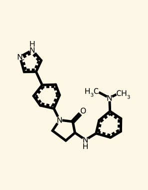 CN(C)c1cccc(NC2CCN(c3ccc(-c4cn[nH]c4)cc3)C2=O)c1